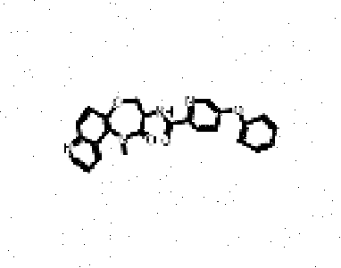 CN1C(=O)C(NC(=O)c2ccc(Oc3ccccc3)cn2)COc2ccc3ncccc3c21